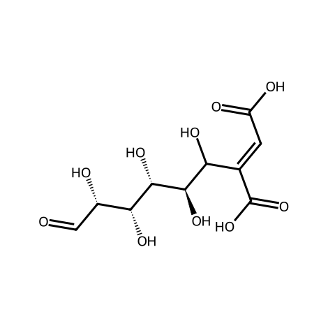 O=C[C@H](O)[C@@H](O)[C@H](O)[C@H](O)C(O)/C(=C\C(=O)O)C(=O)O